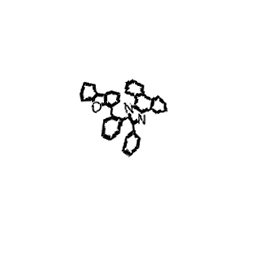 c1ccc(-c2nc3c4ccccc4c4ccccc4c3nc2-c2ccccc2-c2cccc3c2oc2ccccc23)cc1